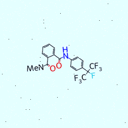 CNC(=O)c1ccccc1C(=O)Nc1ccc(C(F)(C(F)(F)F)C(F)(F)F)cc1